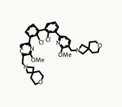 COc1nc(-c2cccc(-c3cccc(-c4ccc(CN5CC6(CCOCC6)C5)c(OC)n4)c3Cl)c2Cl)ccc1CN1CC2(CCOCC2)C1